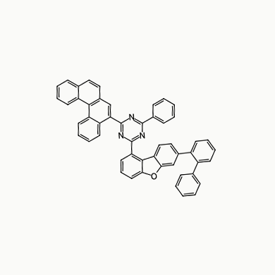 c1ccc(-c2nc(-c3cc4ccc5ccccc5c4c4ccccc34)nc(-c3cccc4oc5cc(-c6ccccc6-c6ccccc6)ccc5c34)n2)cc1